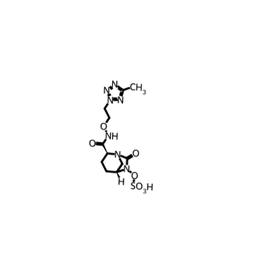 Cc1nnn(CCONC(=O)[C@@H]2CC[C@@H]3CN2C(=O)N3OS(=O)(=O)O)n1